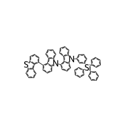 c1ccc([Si](c2ccccc2)(c2ccccc2)c2cccc(-n3c4ccccc4c4c(-n5c6ccccc6c6c(-c7cccc8sc9ccccc9c78)cccc65)cccc43)c2)cc1